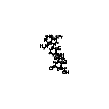 CC(C)n1cc(-c2cccc(NS(=O)(=O)c3cc(Cl)cc(CO)c3Cl)c2F)c2c(N)ncnc21